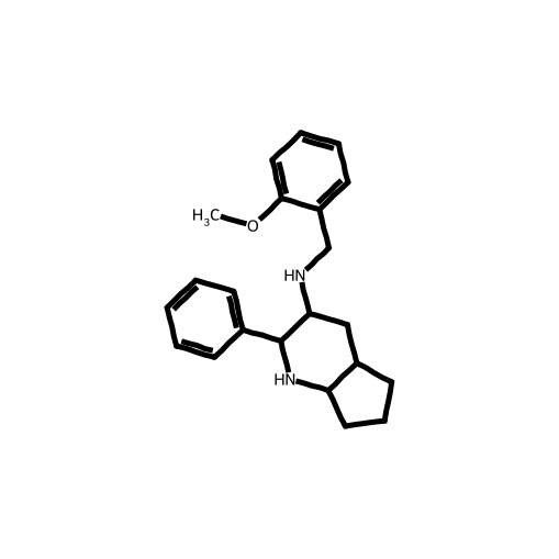 COc1ccccc1CNC1CC2CCCC2NC1c1ccccc1